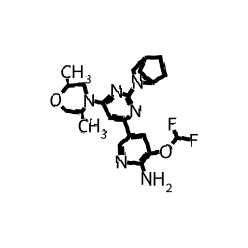 C[C@H]1CN(c2cc(-c3cnc(N)c(OC(F)F)c3)nc(N3CC4CCC3C4)n2)[C@@H](C)CO1